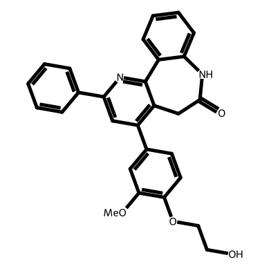 COc1cc(-c2cc(-c3ccccc3)nc3c2CC(=O)Nc2ccccc2-3)ccc1OCCO